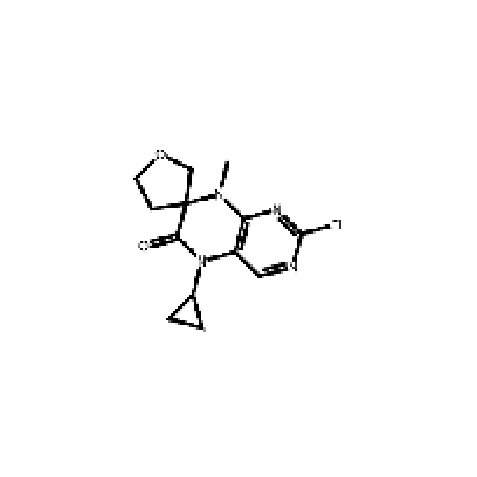 CN1c2nc(Cl)ncc2N(C2CC2)C(=O)C12CCOC2